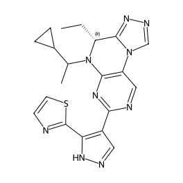 CC[C@@H]1c2nncn2-c2cnc(-c3cn[nH]c3-c3nccs3)nc2N1C(C)C1CC1